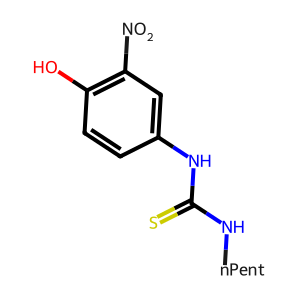 CCCCCNC(=S)Nc1ccc(O)c([N+](=O)[O-])c1